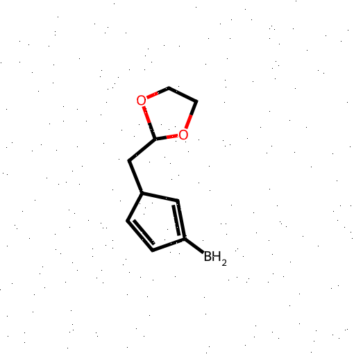 BC1=CC(CC2OCCO2)C=C1